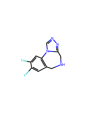 Fc1cc2c(cc1F)-n1cnnc1CNC2